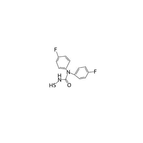 O=C(NS)N(c1ccc(F)cc1)c1ccc(F)cc1